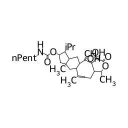 C=C1C2CC3C(C(C)C)C(OC(=O)NCCCCC)CC3(C)CC2C(C)=CCC2C(C)OC(=O)C(O)C12O